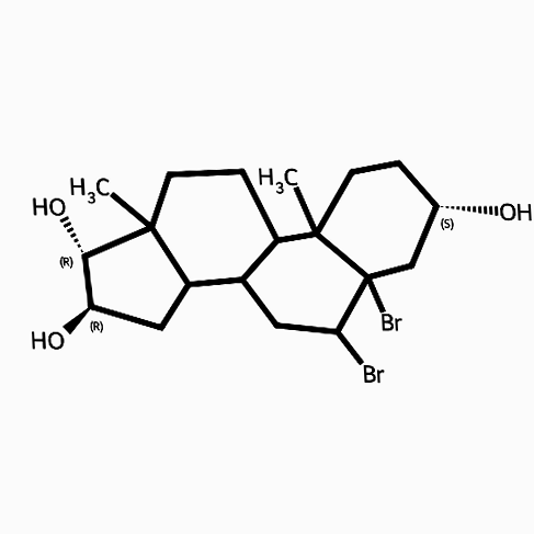 CC12CCC3C(CC(Br)C4(Br)C[C@@H](O)CCC34C)C1C[C@@H](O)[C@@H]2O